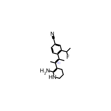 C/C(C1=C(N)NCCC1)=C(/C)c1ccc(C#N)cc1C(C)F